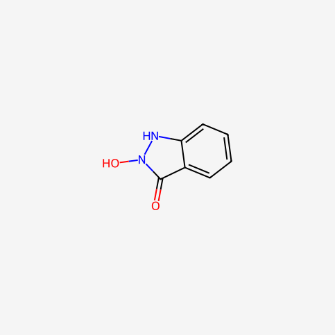 O=c1c2ccccc2[nH]n1O